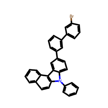 Brc1cccc(-c2cccc(-c3ccc4c(c3)c3c5ccccc5ccc3n4-c3ccccc3)c2)c1